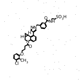 Cc1c(Cl)cccc1OCCCC(=O)N1C[C@H]2C[C@H]2c2c(-c3cnn(Cc4cccc(C(=O)NCCS(=O)(=O)O)c4)c3)cccc21